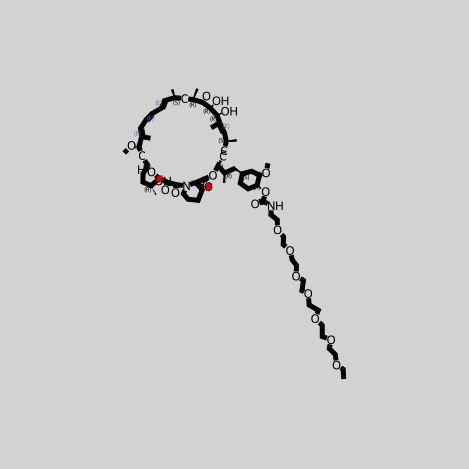 CCOCCOCCOCCOCCOCCOCCOCCNC(=O)O[C@@H]1CC[C@@H](C[C@@H](C)[C@@H]2CC[C@H](C)/C=C(\C)[C@@H](O)[C@@H](O)C(=O)[C@H](C)C[C@H](C)/C=C/C=C/C=C(\C)[C@@H](OC)C[C@@H]3CC[C@@H](C)[C@@](O)(O3)C(=O)C(=O)N3CCCC[C@H]3C(=O)O2)C[C@H]1OC